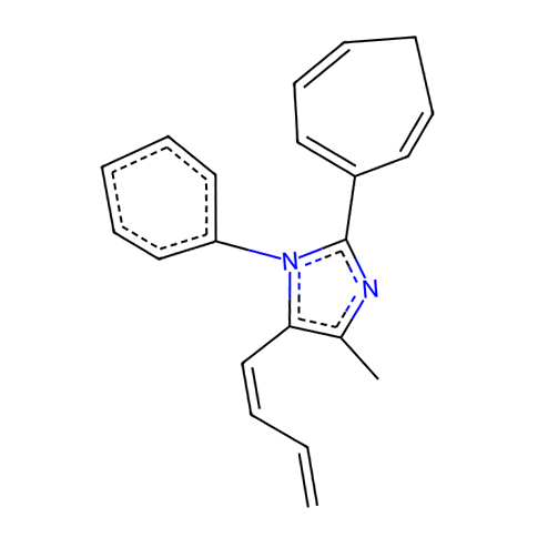 C=C/C=C\c1c(C)nc(C2=CC=CCC=C2)n1-c1ccccc1